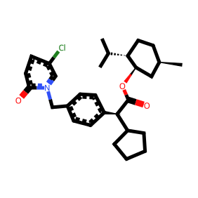 CC(C)[C@@H]1CC[C@@H](C)C[C@H]1OC(=O)[C@H](c1ccc(Cn2cc(Cl)ccc2=O)cc1)C1CCCC1